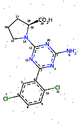 Nc1nc(-c2cc(Cl)ccc2Cl)nc(N2CCC[C@H]2C(=O)O)n1